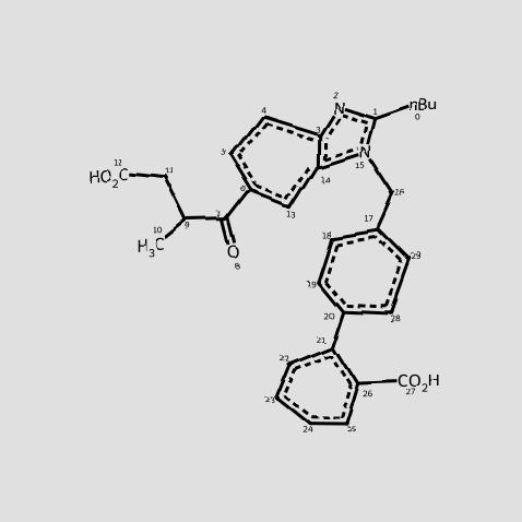 CCCCc1nc2ccc(C(=O)C(C)CC(=O)O)cc2n1Cc1ccc(-c2ccccc2C(=O)O)cc1